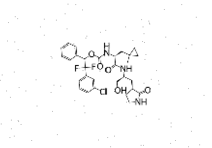 CC1(C[C@H](NC(=O)OC(c2ccccc2)C(F)(F)c2cccc(Cl)c2)C(=O)N[C@H](CO)C[C@@H]2CCNC2=O)CC1